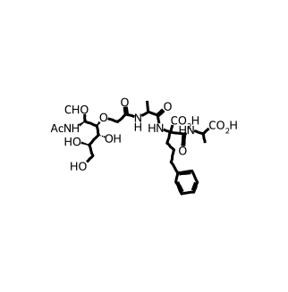 CC(=O)N[C@@H](C=O)[C@@H](OCC(=O)NC(C)C(=O)NC(CCCc1ccccc1)(C(=O)O)C(=O)NC(C)C(=O)O)[C@H](O)[C@H](O)CO